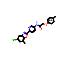 Cc1cc(Br)cc2nc(-c3ccc(NC(=O)COC45C=CC(C)(CC4)CC5)cn3)oc12